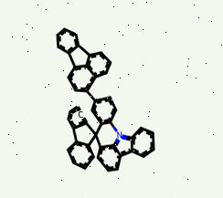 c1ccc2c(c1)-c1cccc3c(-c4ccc5c(c4)C4(c6ccccc6-c6ccccc64)c4cccc6c7ccccc7n-5c46)ccc-2c13